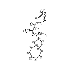 NC(NC(=O)c1cccc(C(F)(F)F)c1)OC(N)c1ccc2c(c1)CCCCCC2